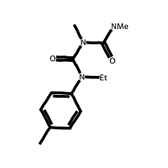 CCN(C(=O)N(C)C(=O)NC)c1ccc(C)cc1